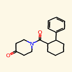 O=C1CCN(C(=O)C2CCCCC2c2ccccc2)CC1